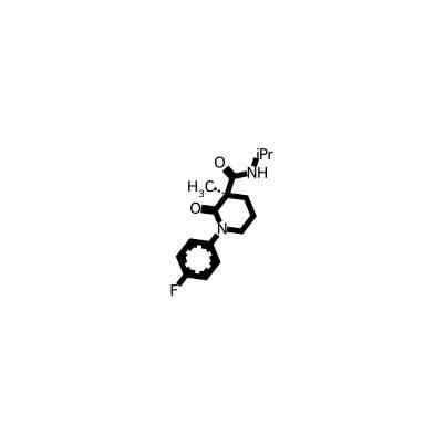 CC(C)NC(=O)[C@@]1(C)CCCN(c2ccc(F)cc2)C1=O